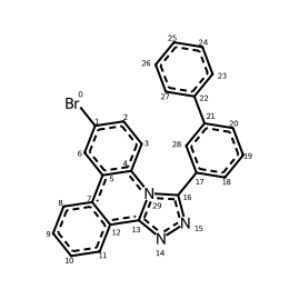 Brc1ccc2c(c1)c1ccccc1c1nnc(-c3cccc(-c4ccccc4)c3)n21